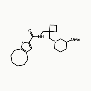 COC1CCCN(CC2(CNC(=O)c3cc4c(s3)CCCCCC4)CCC2)C1